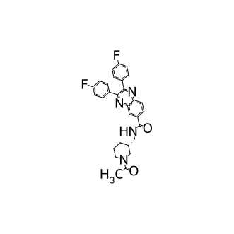 CC(=O)N1CCC[C@H](CNC(=O)c2ccc3nc(-c4ccc(F)cc4)c(-c4ccc(F)cc4)nc3c2)C1